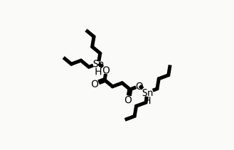 CCC[CH2][SnH]([CH2]CCC)[O]C(=O)CCC(=O)[O][SnH]([CH2]CCC)[CH2]CCC